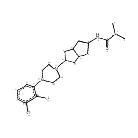 CN(C)C(=O)NC1CC2CC(N3CCN(c4cccc(Cl)c4Cl)CC3)CC2C1